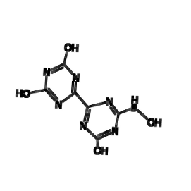 OBc1nc(O)nc(-c2nc(O)nc(O)n2)n1